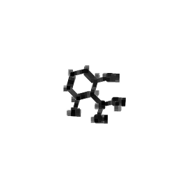 CCc1cccc(O)c1B(O)O